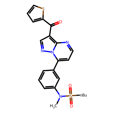 CCCCS(=O)(=O)N(C)c1cccc(-c2ccnc3c(C(=O)c4cccs4)cnn23)c1